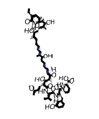 CC[C@H]1C[C@H](C)[C@@]2(NC1=O)O[C@@H](C[C@H](O)[C@@H](C)CC/C=C/C=C(\C)[C@@H](O)C/C=C/C=C/[C@@H](O)[C@H](C)[C@@H](O)[C@@H](CCC(C)=O)C(=O)N[C@H](C(=O)N[C@@H](Cc1cccc(O)c1)C(=O)N1CCC[C@@H](C(=O)O)N1)C(C)C)[C@H](C)[C@H](O)[C@@H]2C